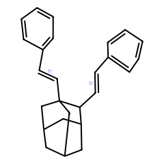 C(=C\C1C2CC3CC(C2)CC1(/C=C/c1ccccc1)C3)/c1ccccc1